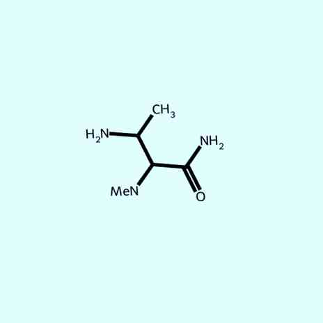 CNC(C(N)=O)C(C)N